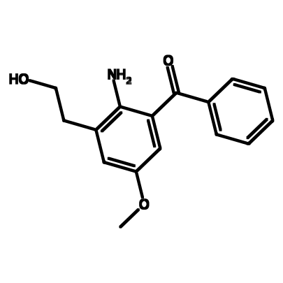 COc1cc(CCO)c(N)c(C(=O)c2ccccc2)c1